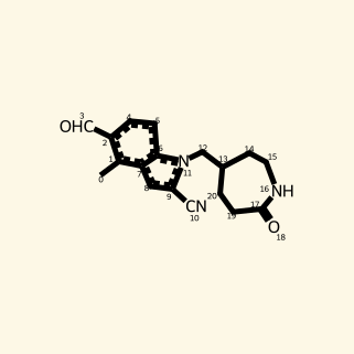 Cc1c(C=O)ccc2c1cc(C#N)n2CC1CCNC(=O)CC1